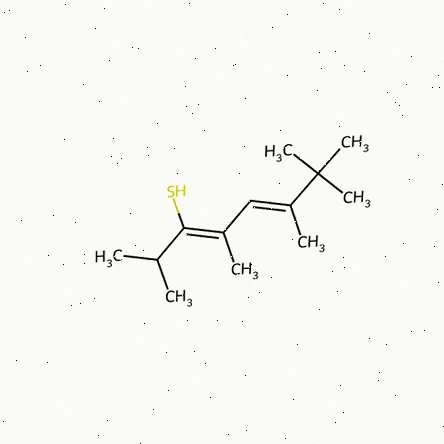 CC(/C=C(\C)C(C)(C)C)=C(/S)C(C)C